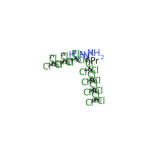 CCCN(N)N.ClC(Cl)Cl.ClC(Cl)Cl.ClC(Cl)Cl.ClC(Cl)Cl.ClC(Cl)Cl.ClC(Cl)Cl.ClC(Cl)Cl